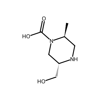 C[C@H]1CN[C@H](CO)CN1C(=O)O